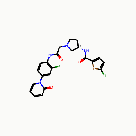 O=C(CN1CC[C@H](NC(=O)c2ccc(Cl)s2)C1)Nc1ccc(-n2ccccc2=O)cc1F